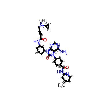 CN(CC#CC(=O)Nc1cccc(-n2c(=O)n(-c3ccc(C(=O)Nc4cc(C(F)(F)F)ccn4)cc3)c3c(N)ncnc32)c1)C1CC1